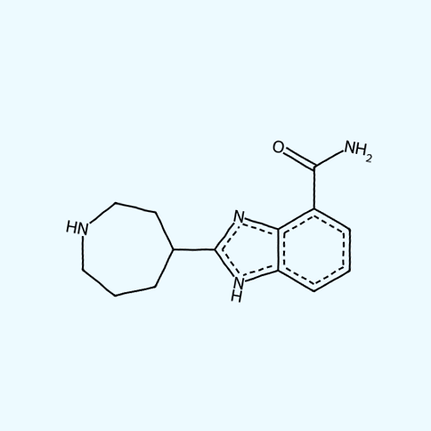 NC(=O)c1cccc2[nH]c(C3CCCNCC3)nc12